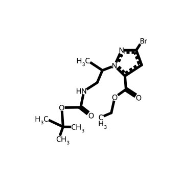 CCOC(=O)c1cc(Br)nn1C(C)CNC(=O)OC(C)(C)C